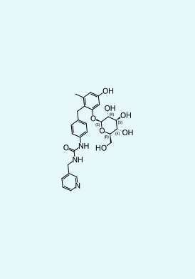 Cc1cc(O)cc(O[C@@H]2O[C@H](CO)[C@@H](O)[C@H](O)[C@H]2O)c1Cc1ccc(NC(=O)NCc2cccnc2)cc1